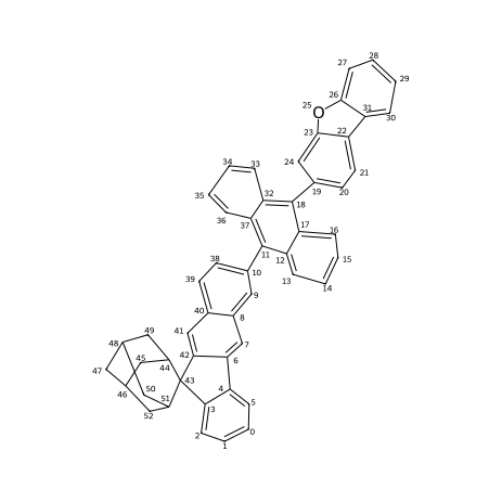 c1ccc2c(c1)-c1cc3cc(-c4c5ccccc5c(-c5ccc6c(c5)oc5ccccc56)c5ccccc45)ccc3cc1C21C2CC3CC(C2)CC1C3